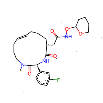 CN1CCC/C=C/CCC[C@H](CC(=O)NOC2CCCCO2)C(=O)N[C@@H](c2cccc(F)c2)C1=O